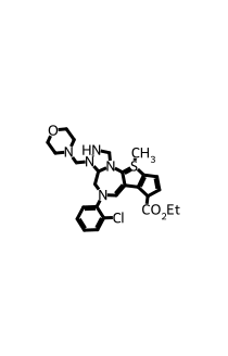 CCOC(=O)C1C=CC2=C1C1=CN(c3ccccc3Cl)CC3N(CN4CCOCC4)NCN3C1=S2C